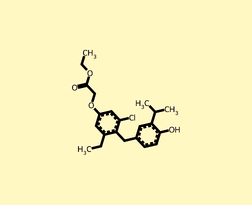 CCOC(=O)COc1cc(Cl)c(Cc2ccc(O)c(C(C)C)c2)c(CC)c1